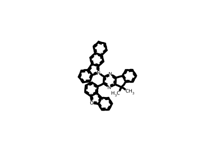 CC1(C)c2ccccc2-c2nc(-n3c4ccccc4c4cc5ccccc5cc43)c(-c3cccc4oc5ccccc5c34)nc21